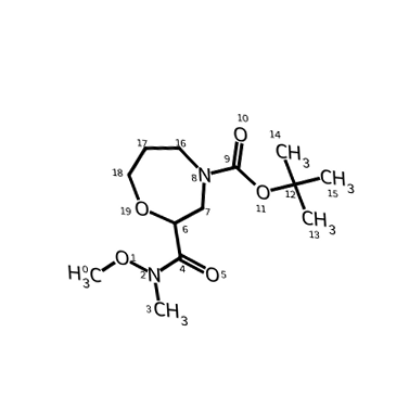 CON(C)C(=O)C1CN(C(=O)OC(C)(C)C)CCCO1